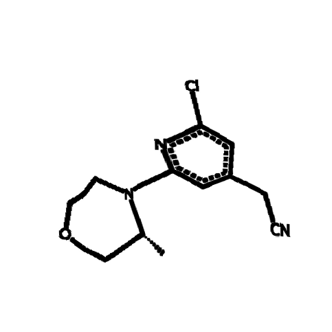 C[C@@H]1COCCN1c1cc(CC#N)cc(Cl)n1